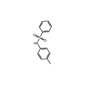 Cc1ccc(NS(=O)(=O)c2cc[c]cc2)cc1